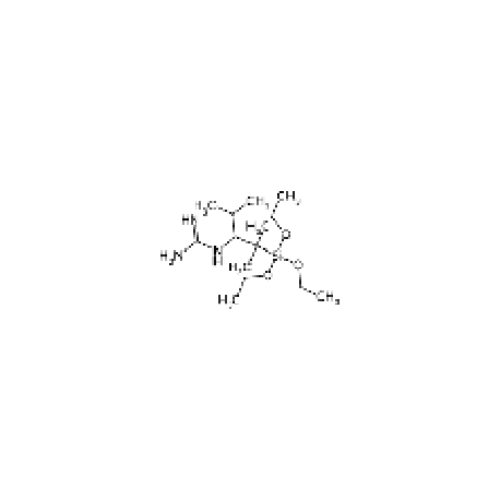 CCO[Si](OCC)(OCC)C(C)(C)C(NC(=N)N)C(C)C